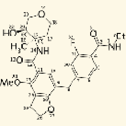 CCNC(=O)c1ccc(Cc2cc(C(=O)N[C@]3(C)CCOC[C@@H]3O)c(OC)c3c2OCC3)cc1F